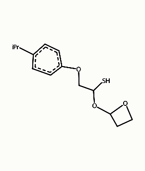 CC(C)c1ccc(OCC(S)OC2CCO2)cc1